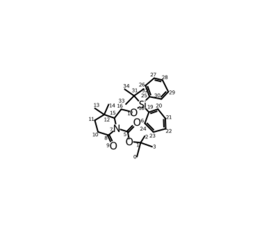 CC(C)(C)OC(=O)N1C(=O)CCC(C)(C)C1CO[Si](c1ccccc1)(c1ccccc1)C(C)(C)C